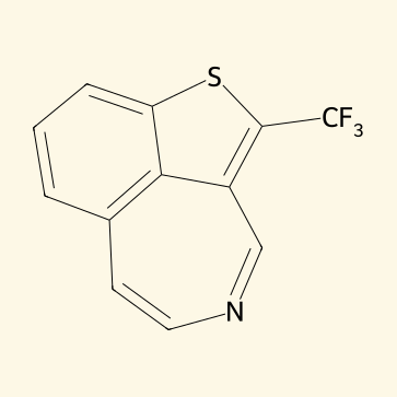 FC(F)(F)c1sc2cccc3c2c1C=NC=C3